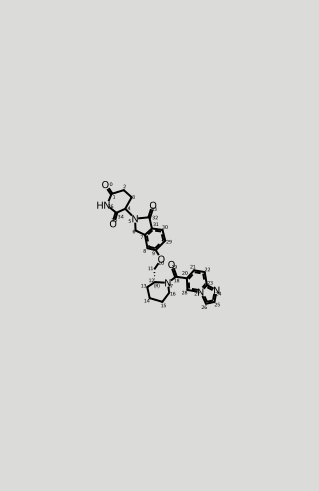 O=C1CCC(N2Cc3cc(OC[C@H]4CCCCN4C(=O)c4ccc5nccn5c4)ccc3C2=O)C(=O)N1